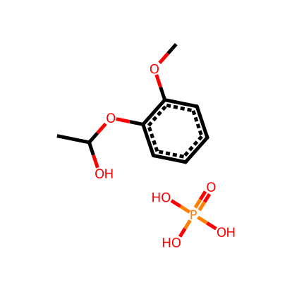 COc1ccccc1OC(C)O.O=P(O)(O)O